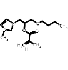 C=C(C)C(=O)OC(COCCCC)CN1C=CN(C)C1.I